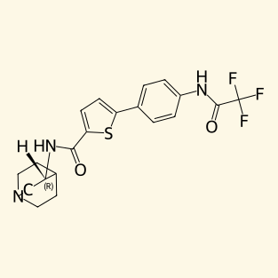 O=C(N[C@H]1CN2CCC1CC2)c1ccc(-c2ccc(NC(=O)C(F)(F)F)cc2)s1